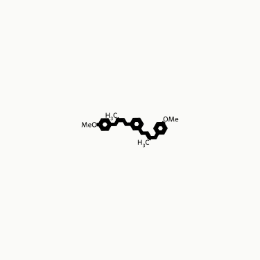 COc1ccc(CC(C)=CCc2cccc(CC=C(C)Cc3ccc(OC)cc3)c2)cc1